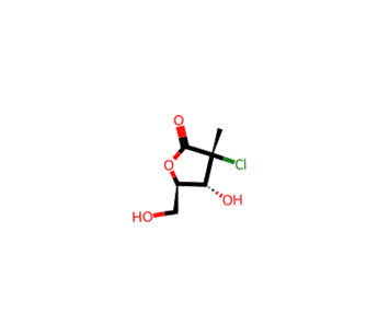 C[C@]1(Cl)C(=O)O[C@H](CO)[C@H]1O